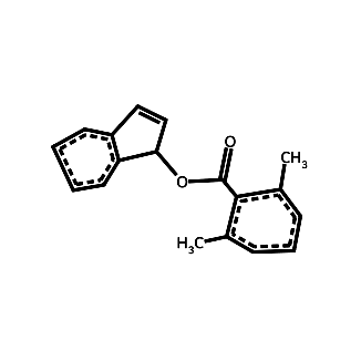 Cc1cccc(C)c1C(=O)OC1C=Cc2ccccc21